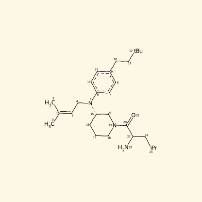 CC(C)=CCN(c1ccc(CCC(C)(C)C)cc1)[C@H]1CCCN(C(=O)C(N)CC(C)C)C1